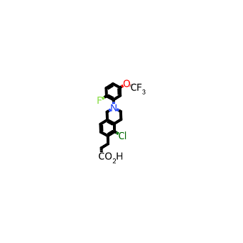 O=C(O)CCc1ccc2c(c1Cl)CCN(c1cc(OC(F)(F)F)ccc1F)C2